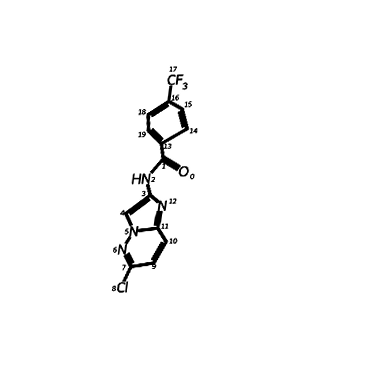 O=C(Nc1cn2nc(Cl)ccc2n1)c1ccc(C(F)(F)F)cc1